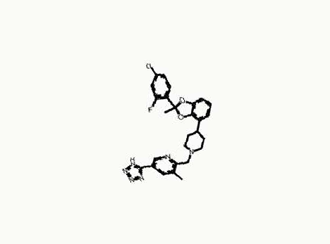 Cc1cc(-c2nnn[nH]2)cnc1CN1CCC(c2cccc3c2OC(C)(c2ccc(Cl)cc2F)O3)CC1